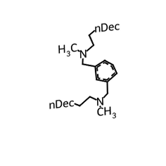 CCCCCCCCCCCCN(C)Cc1cccc(CN(C)CCCCCCCCCCCC)c1